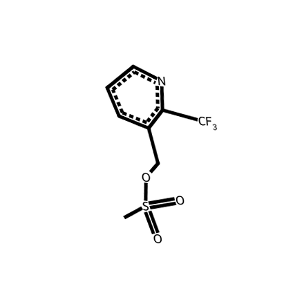 CS(=O)(=O)OCc1cccnc1C(F)(F)F